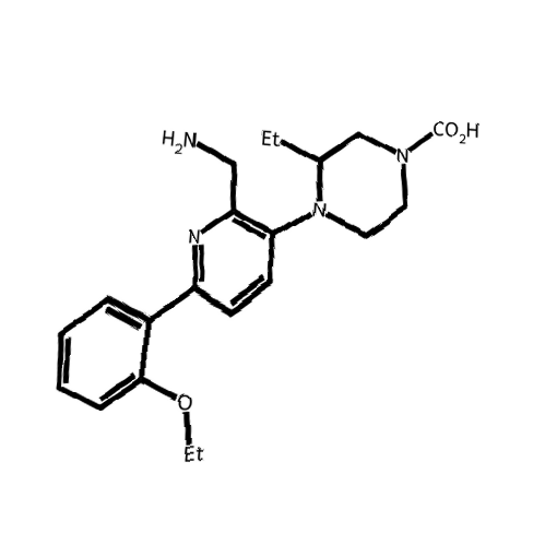 CCOc1ccccc1-c1ccc(N2CCN(C(=O)O)CC2CC)c(CN)n1